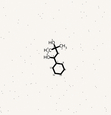 CC(C)(O)CC(O)C1CCCCC1